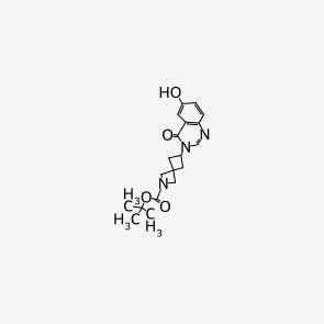 CC(C)(C)OC(=O)N1CC2(CC(n3cnc4ccc(O)cc4c3=O)C2)C1